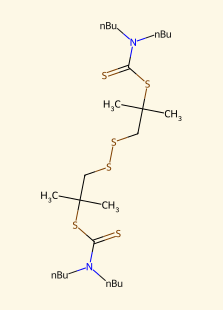 CCCCN(CCCC)C(=S)SC(C)(C)CSSCC(C)(C)SC(=S)N(CCCC)CCCC